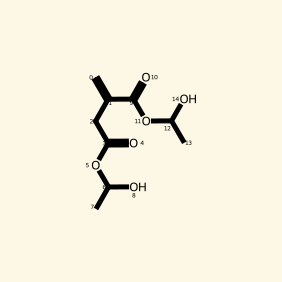 C=C(CC(=O)OC(C)O)C(=O)OC(C)O